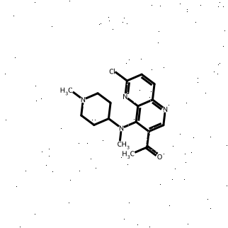 CC(=O)c1cnc2ccc(Cl)nc2c1N(C)C1CCN(C)CC1